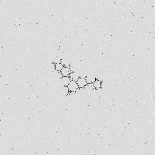 CN1Cc2cc(-c3nccs3)ccc2C(c2ccc3occc3c2)C1